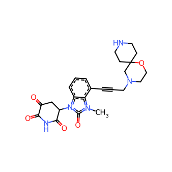 Cn1c(=O)n(C2CC(=O)C(=O)NC2=O)c2cccc(C#CCN3CCOC4(CCNCC4)C3)c21